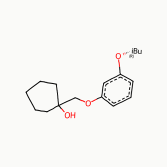 CC[C@@H](C)Oc1cccc(OCC2(O)CCCCC2)c1